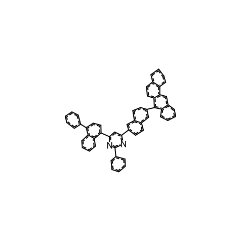 c1ccc(-c2nc(-c3ccc4cc(-c5c6ccccc6cc6c5ccc5ccccc56)ccc4c3)cc(-c3ccc(-c4ccccc4)c4ccccc34)n2)cc1